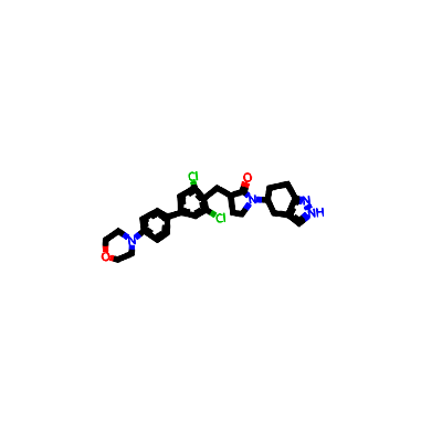 O=C1C(Cc2c(Cl)cc(-c3ccc(N4CCOCC4)cc3)cc2Cl)CCN1C1CCc2n[nH]cc2C1